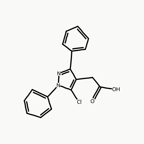 O=C(O)Cc1c(-c2ccccc2)nn(-c2ccccc2)c1Cl